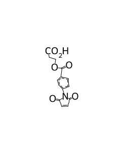 O=C(O)CCOC(=O)c1ccc(N2C(=O)C=CC2=O)cc1